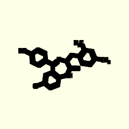 Cc1ccc(CC2N=C(c3ccc(O)cc3)c3cc(Cl)ccc3NC2=O)c(C)c1